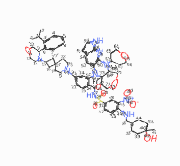 CC(C)c1ccccc1[C@@H]1COCCN1C1CC2(CCN(c3ccc(C(=O)NS(=O)(=O)c4ccc(NCC5CCC(C)(O)CC5)c([N+](=O)[O-])c4)c(N4c5cc6cc[nH]c6nc5N(C5CCOCC5)[C@H]5COCC[C@@H]54)c3)CC2)C1